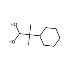 CC(C)(C(O)O)C1CCCCC1